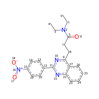 CCN(CC)C(=O)CCc1nc(-c2ccc([N+](=O)[O-])cc2)nc2ccccc12